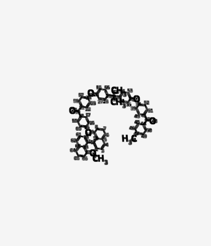 COc1ccc2ccccc2c1-c1c(Oc2ccc(C(=O)c3ccc(Oc4ccc(C(C)(C)c5ccc(Oc6ccc(C(=O)c7ccc(C)cc7)cc6)cc5)cc4)cc3)cc2)ccc2ccccc12